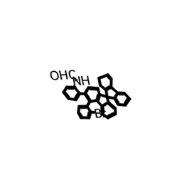 O=CNc1ccccc1-c1ccc2c(c1-c1ccccc1Br)-c1ccccc1C21C2=C(C=CCC2)c2ccccc21